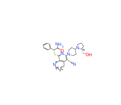 CCc1c(C#N)c(SC(C(N)=O)c2ccccc2)nc(N2CCC(N3CCC[C@@H]3CO)CC2)c1C#N